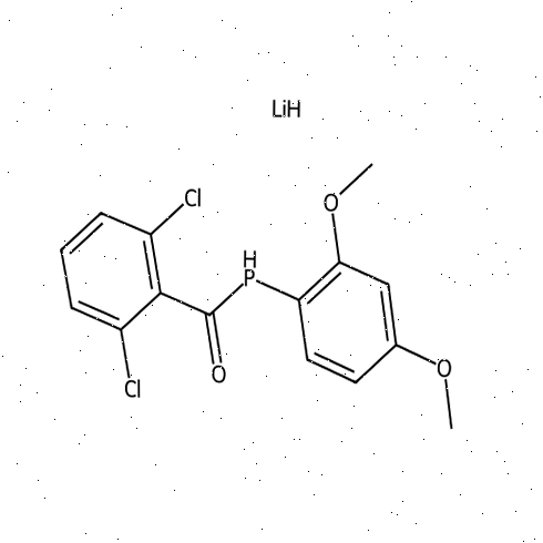 COc1ccc(PC(=O)c2c(Cl)cccc2Cl)c(OC)c1.[LiH]